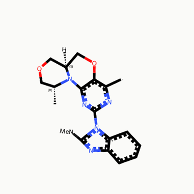 [CH2]c1nc(-n2c(NC)nc3ccccc32)nc2c1OC[C@@H]1COC[C@@H](C)N21